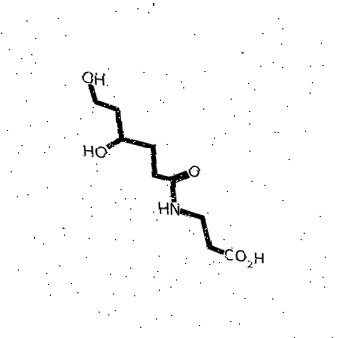 O=C(O)CCNC(=O)CCC(O)CCO